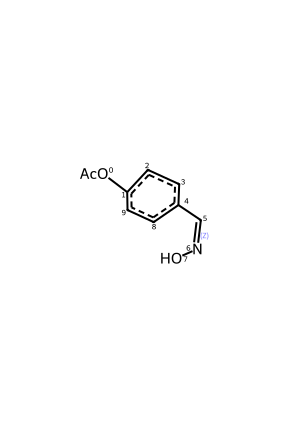 CC(=O)Oc1ccc(/C=N\O)cc1